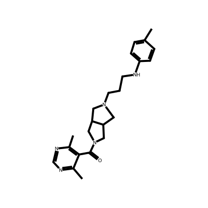 Cc1ccc(NCCCN2CC3CN(C(=O)c4c(C)ncnc4C)CC3C2)cc1